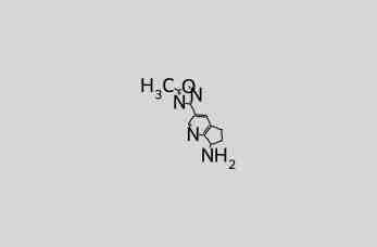 Cc1nc(-c2cnc3c(c2)CCC3N)no1